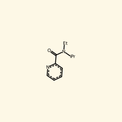 CCN(C(=O)c1ccccn1)C(C)C